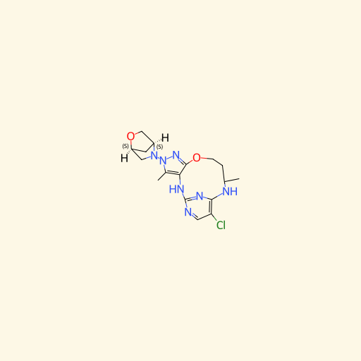 Cc1c2c(nn1N1C[C@@H]3C[C@H]1CO3)OCCC(C)Nc1nc(ncc1Cl)N2